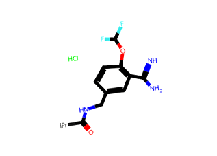 CC(C)C(=O)NCc1ccc(OC(F)F)c(C(=N)N)c1.Cl